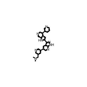 CN(C)Cc1cncc(-c2cnc3[nH]nc(-c4cc5c(-c6cccnc6)cncc5[nH]4)c3c2)c1